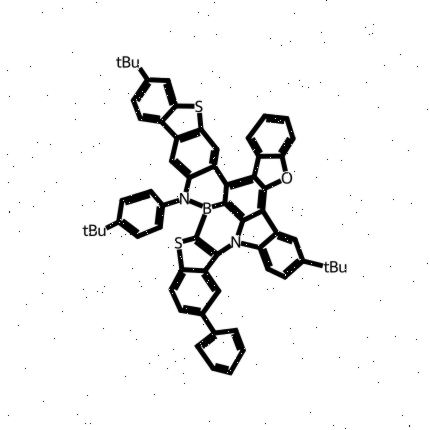 CC(C)(C)c1ccc(N2B3c4sc5ccc(-c6ccccc6)cc5c4-n4c5ccc(C(C)(C)C)cc5c5c6oc7ccccc7c6c(c3c54)-c3cc4sc5cc(C(C)(C)C)ccc5c4cc32)cc1